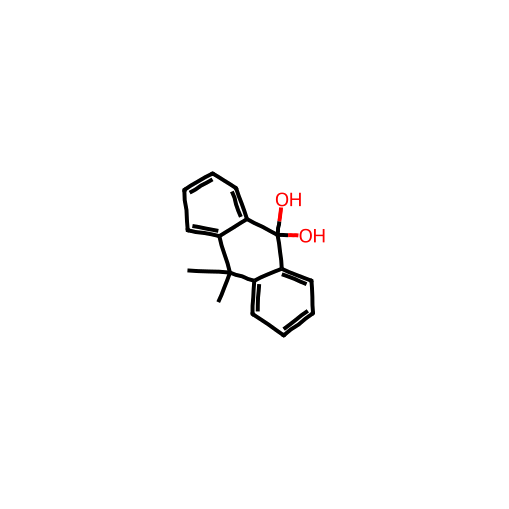 CC1(C)c2ccccc2C(O)(O)c2ccccc21